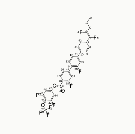 CCC/C(F)=C(\F)c1ccc(-c2ccc(-c3ccc(C(=O)Oc4cc(F)c(OC(F)(F)F)c(F)c4)c(F)c3)c(F)c2)cc1